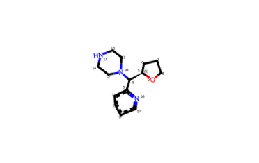 c1ccc(C([C@H]2CCCO2)N2CCNCC2)nc1